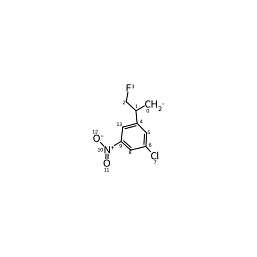 [CH2]C(CF)c1cc(Cl)cc([N+](=O)[O-])c1